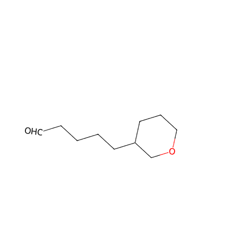 O=CCCCCC1CCCOC1